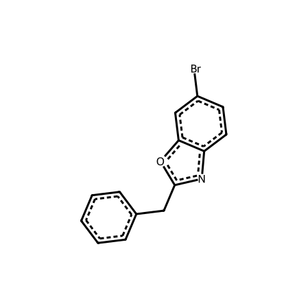 Brc1ccc2nc(Cc3ccccc3)oc2c1